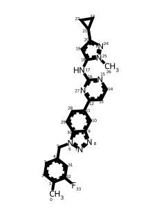 Cc1ccc(Cn2nnc3cc(-c4ccnc(Nc5cc(C6CC6)nn5C)n4)ccc32)cc1F